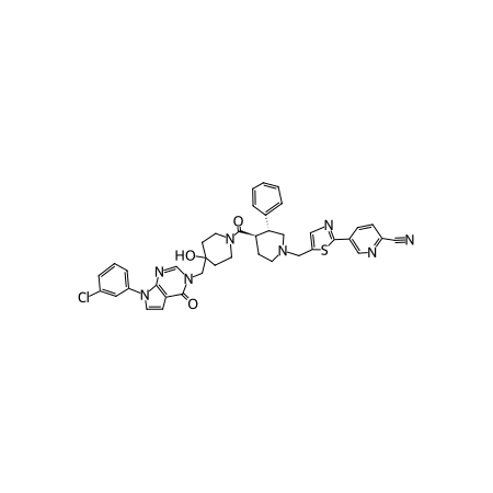 N#Cc1ccc(-c2ncc(CN3CC[C@@H](C(=O)N4CCC(O)(Cn5cnc6c(ccn6-c6cccc(Cl)c6)c5=O)CC4)[C@H](c4ccccc4)C3)s2)cn1